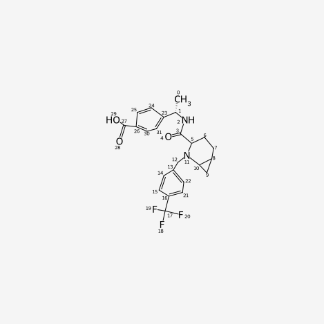 C[C@H](NC(=O)C1CCC2CC2N1Cc1ccc(C(F)(F)F)cc1)c1ccc(C(=O)O)cc1